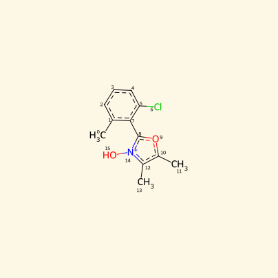 Cc1cccc(Cl)c1-c1oc(C)c(C)[n+]1O